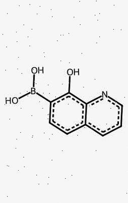 OB(O)c1ccc2cccnc2c1O